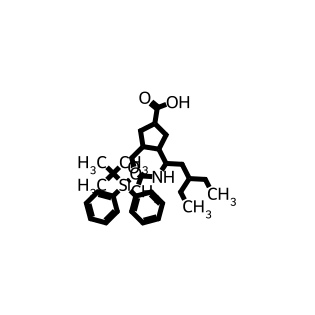 CCC(CC)CC(NC(C)=O)C1CC(C(=O)O)CC1CO[Si](c1ccccc1)(c1ccccc1)C(C)(C)C